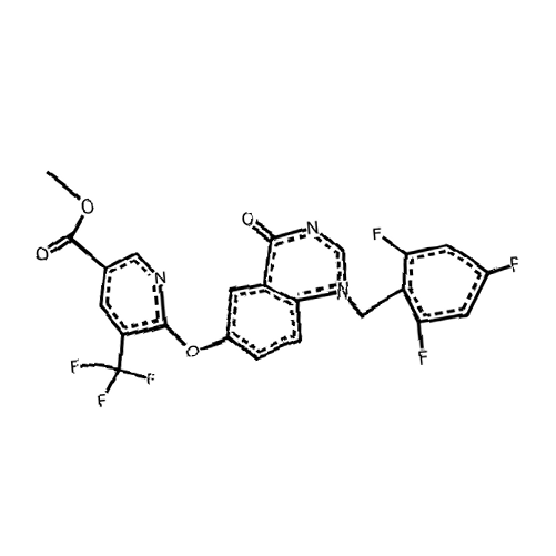 COC(=O)c1cnc(Oc2ccc3c(c2)c(=O)ncn3Cc2c(F)cc(F)cc2F)c(C(F)(F)F)c1